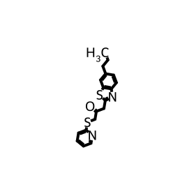 CCCc1ccc2nc(CC(=O)CSc3ccccn3)sc2c1